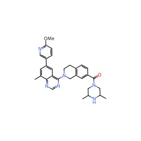 COc1ccc(-c2cc(C)c3ncnc(N4CCc5ccc(C(=O)N6CC(C)NC(C)C6)cc5C4)c3c2)cn1